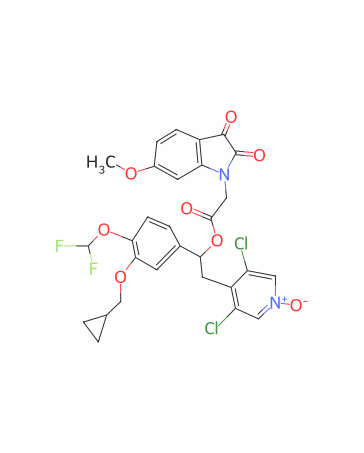 COc1ccc2c(c1)N(CC(=O)OC(Cc1c(Cl)c[n+]([O-])cc1Cl)c1ccc(OC(F)F)c(OCC3CC3)c1)C(=O)C2=O